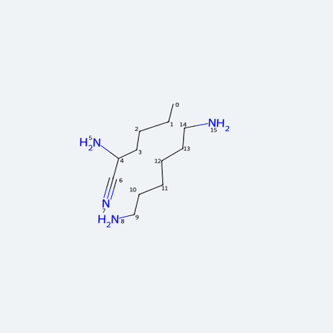 CCCCC(N)C#N.NCCCCCCN